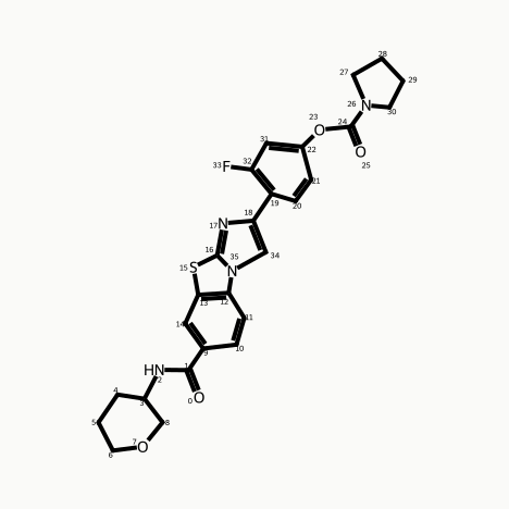 O=C(NC1CCCOC1)c1ccc2c(c1)sc1nc(-c3ccc(OC(=O)N4CCCC4)cc3F)cn12